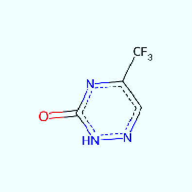 O=c1nc(C(F)(F)F)cn[nH]1